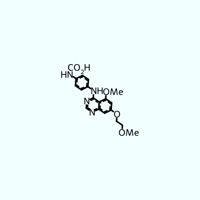 COCCOc1cc(OC)c2c(Nc3ccc(NC(=O)O)cc3)ncnc2c1